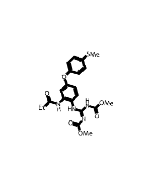 CCC(=O)Nc1cc(Oc2ccc(SC)cc2)ccc1NC(=NC(=O)OC)NC(=O)OC